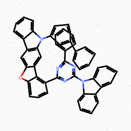 c1ccc(-c2cccc(-n3c4ccccc4c4cc5oc6cccc(-c7nc(-c8ccccc8)nc(-n8c9ccccc9c9ccccc98)n7)c6c5cc43)c2)cc1